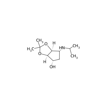 CC(C)N[C@@H]1C[C@H](O)[C@H]2OC(C)(C)O[C@H]21